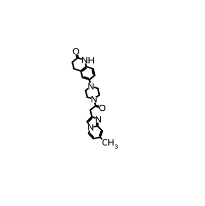 Cc1ccn2cc(CC(=O)N3CCN(c4ccc5c(c4)CCC(=O)N5)CC3)nc2c1